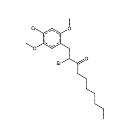 CCCCCCCC(=O)C(Br)Cc1cc(OC)c(Cl)cc1OC